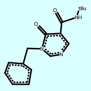 CC(C)(C)NC(=O)c1cncn(Cc2ccccc2)c1=O